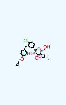 C[C@H]1[C@H](O)[C@@H](O)[C@H](c2ccc(Cl)c(Cc3ccc(OCC4CC4)cc3)c2)O[C@@H]1CO